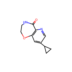 O=C1NCCOc2cc(C3CC3)cnc21